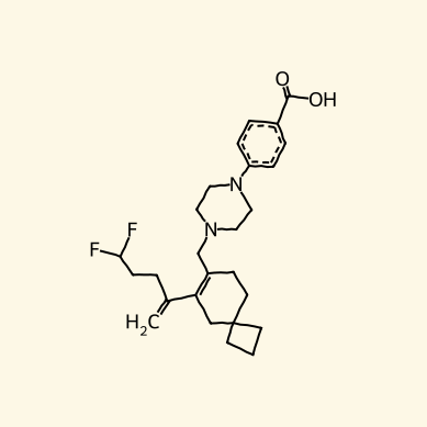 C=C(CCC(F)F)C1=C(CN2CCN(c3ccc(C(=O)O)cc3)CC2)CCC2(CCC2)C1